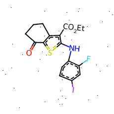 CCOC(=O)c1c(Nc2ccc(I)cc2F)sc2c1CCCC2=O